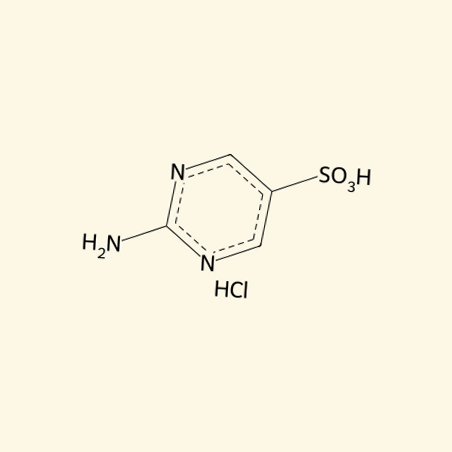 Cl.Nc1ncc(S(=O)(=O)O)cn1